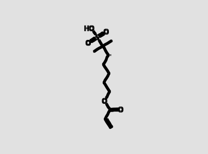 C=CC(=O)OCCCC[CH]C(C)(C)S(=O)(=O)O